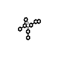 c1ccc(-c2ccc(N(c3ccc(-c4ccc5ccccc5c4)cc3)c3cc(-c4ccccc4)cc4c3oc3ccccc34)cc2)cc1